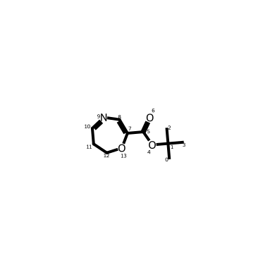 CC(C)(C)OC(=O)C1=CN=CCCO1